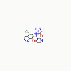 CC(C)(C)C(N)C(=O)NC(c1cccnc1)c1cc(Cl)c2cccnc2c1O